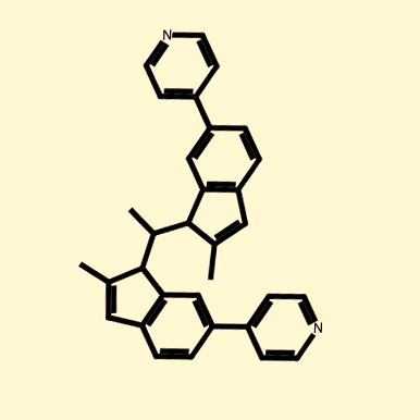 CC1=Cc2ccc(-c3ccncc3)cc2C1C(C)C1C(C)=Cc2ccc(-c3ccncc3)cc21